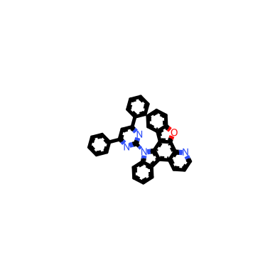 c1ccc(-c2cc(-c3ccccc3)nc(-n3c4ccccc4c4c5cccnc5c5oc6ccccc6c5c43)n2)cc1